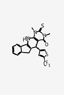 Cn1c2c(c(=O)n(C)c1=S)C(c1csc(C(F)(F)F)c1)C1=C(N2)c2ccccc2C1